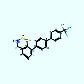 FC(F)(F)c1ccc(-c2ccc(-c3cccc4c3OSNC4)cc2)cc1